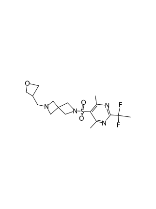 Cc1nc(C(C)(F)F)nc(C)c1S(=O)(=O)N1CC2(CN(CC3COC3)C2)C1